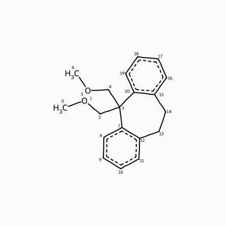 COCC1(COC)c2ccccc2CCc2ccccc21